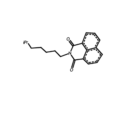 CC(C)CCCCCN1C(=O)c2cccc3cccc(c23)C1=O